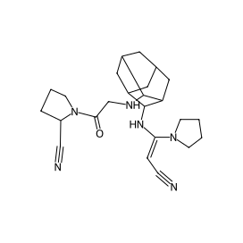 N#CC=C(NC1C2CC3CC(C2)C(NCC(=O)N2CCCC2C#N)C1C3)N1CCCC1